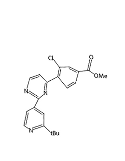 COC(=O)c1ccc(-c2ccnc(-c3ccnc(C(C)(C)C)c3)n2)c(Cl)c1